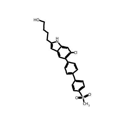 CS(=O)(=O)c1ccc(-c2ccc(-c3cc4cc(CCCCO)[nH]c4cc3Cl)cc2)cc1